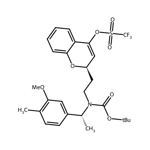 COc1cc([C@@H](C)N(CC[C@@H]2C=C(OS(=O)(=O)C(F)(F)F)c3ccccc3O2)C(=O)OC(C)(C)C)ccc1C